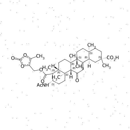 CC(=O)N[C@H]1CC[C@@]2(C)[C@@H](CC[C@]3(C)[C@@H]2C(=O)C=C2[C@@H]4C[C@@](C)(C(=O)O)CC[C@]4(C)CC[C@]23C)[C@]1(C)C(=O)OCc1oc(=O)oc1C